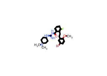 COc1ccc(Br)cc1CCc1c(F)cccc1C(=O)NC(=N)NC1CCC(N(C)C)CC1